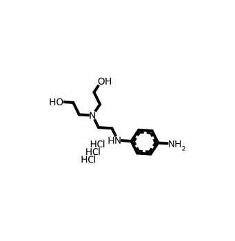 Cl.Cl.Cl.Nc1ccc(NCCN(CCO)CCO)cc1